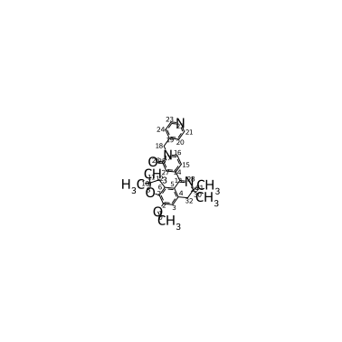 COc1cc2c(c3c1OC(C)(C)C3)C(c1ccn(Cc3ccncc3)c(=O)c1)=NC(C)(C)C2